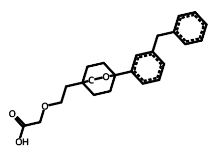 O=C(O)COCCC12CCC(c3cccc(Cc4ccccc4)c3)(CC1)OC2